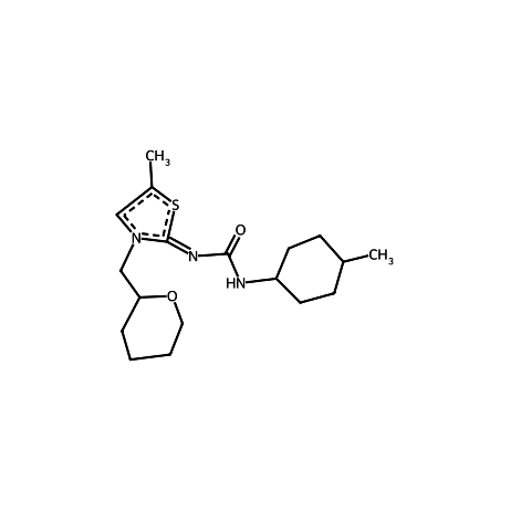 Cc1cn(CC2CCCCO2)c(=NC(=O)NC2CCC(C)CC2)s1